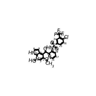 COc1c[n+](O)c2[nH]ccc2c1C(=O)c1ncccc1NS(=O)(=O)c1ccc(Cl)c(C(F)(F)F)c1